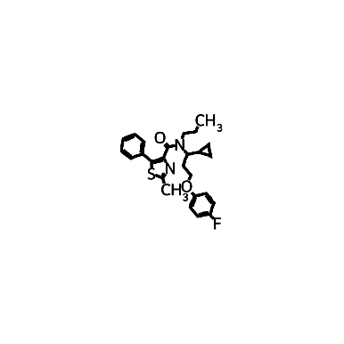 CCCN(C(=O)c1nc(C)sc1-c1ccccc1)C(CCOc1ccc(F)cc1)C1CC1